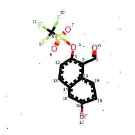 O=Cc1c(OS(=O)(=O)C(F)(F)F)ccc2cc(Br)ccc12